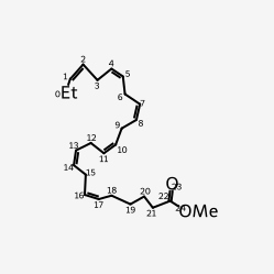 CC/C=C\C/C=C\C/C=C\C/C=C\C/C=C\C/C=C\CCCCC(=O)OC